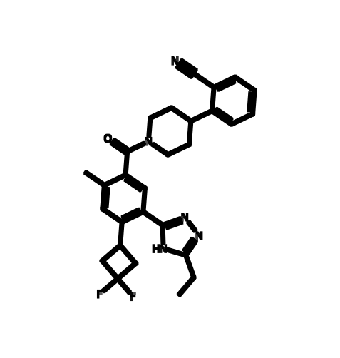 CCc1nnc(-c2cc(C(=O)N3CCC(c4ccccc4C#N)CC3)c(C)cc2C2CC(F)(F)C2)[nH]1